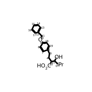 CC(C)C(O)C(CCc1ccc(OCc2ccccc2)cc1)C(=O)O